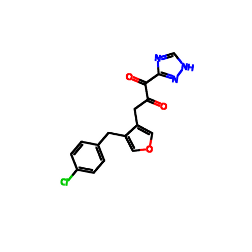 O=C(Cc1cocc1Cc1ccc(Cl)cc1)C(=O)c1nc[nH]n1